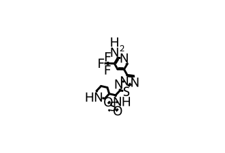 CS(=O)(=O)NC(c1nn2c(-c3cnc(N)c(C(F)(F)F)c3)cnc2s1)C1CCCNC1